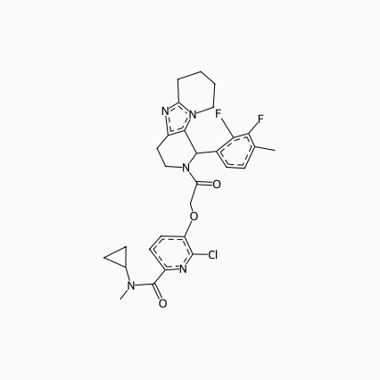 Cc1ccc(C2c3c(nc4n3CCCC4)CCN2C(=O)COc2ccc(C(=O)N(C)C3CC3)nc2Cl)c(F)c1F